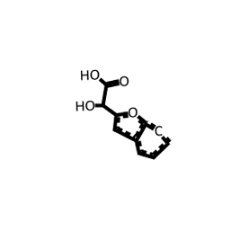 O=C(O)C(O)c1cc2ccccc2o1